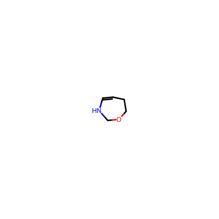 [C]1=CNCOCC1